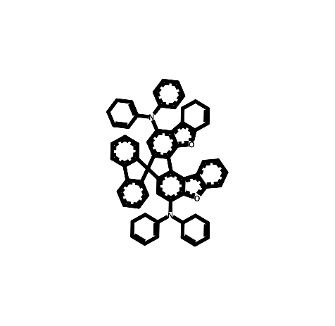 C1=CCCC(N(c2cc3c(c4c2oc2ccccc24)-c2c(cc(N(C4=CCCC=C4)c4ccccc4)c4c5c(oc24)C=CCC5)C32c3ccccc3-c3ccccc32)C2C=CC=CC2)=C1